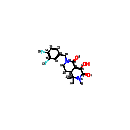 CN1C(=O)C(O)=C2C(=O)N(Cc3ccc(F)c(F)c3)CCC2C1(C)C